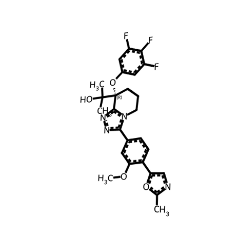 COc1cc(-c2nnc3n2CCC[C@]3(Oc2cc(F)c(F)c(F)c2)C(C)(C)O)ccc1-c1cnc(C)o1